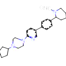 O=CN1CCCCC1c1ccc(-c2ccc(N3CCN(C4CCCC4)CC3)nc2)cc1